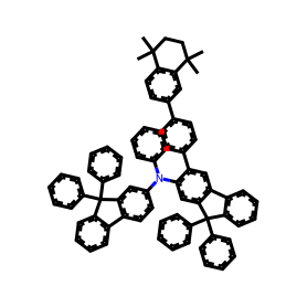 CC1(C)CCC(C)(C)c2cc(-c3ccc(-c4cc5c(cc4N(c4ccccc4)c4ccc6c(c4)C(c4ccccc4)(c4ccccc4)c4ccccc4-6)C(c4ccccc4)(c4ccccc4)c4ccccc4-5)cc3)ccc21